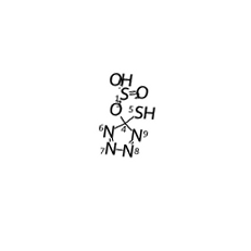 O=[SH](=O)OC1(S)N=NN=N1